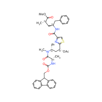 COC(=O)[C@@H](C)C[C@@H](Cc1ccccc1)NC(=O)c1csc([C@@H](C[C@@H](C(C)C)N(C)C(=O)[C@H](C)NC(=O)OCC2c3ccccc3-c3ccccc32)OC(C)=O)n1